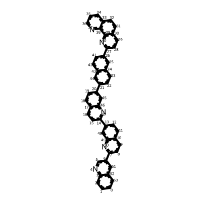 c1ccc2ncc(-c3ccc4ccc(-c5ccc6ccc(-c7ccc8cc(-c9ccc%10ccc%11cccnc%11c%10n9)ccc8c7)cc6n5)cc4n3)cc2c1